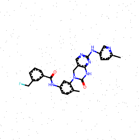 Cc1ccc(Nc2ncc3c(n2)NC(=O)N(c2cc(NC(=O)c4cccc(CF)c4)ccc2C)C3)cn1